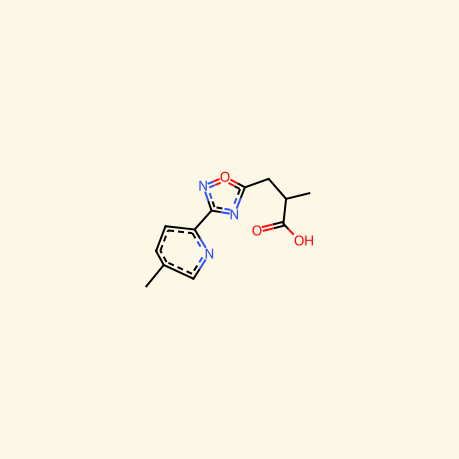 Cc1ccc(-c2noc(CC(C)C(=O)O)n2)nc1